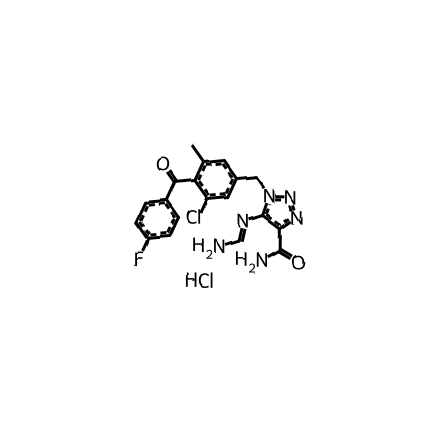 Cc1cc(Cn2nnc(C(N)=O)c2N=CN)cc(Cl)c1C(=O)c1ccc(F)cc1.Cl